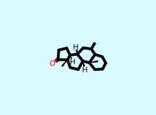 CC1C[C@@H]2[C@@H](CC[C@]3(C)C(=O)CC[C@@H]23)[C@@]2(C)CCCCC12